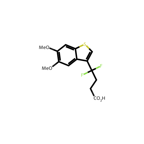 COc1cc2scc(C(F)(F)CCC(=O)O)c2cc1OC